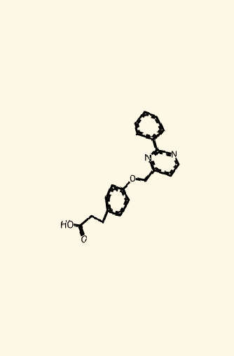 O=C(O)CCc1ccc(OCc2ccnc(-c3ccccc3)n2)cc1